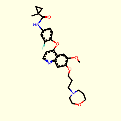 COc1cc2c(Oc3ccc(NC(=O)C4(C)CC4)cc3F)ccnc2cc1OCCCN1CCCOCC1